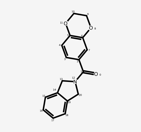 O=C(c1ccc2c(c1)OCCO2)N1Cc2ccccc2C1